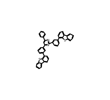 c1ccc(-c2cc(-c3cccc(-c4cccc5c4sc4ccccc45)c3)nc(-c3cccc(-c4cccc5c4sc4ccccc45)c3)n2)cc1